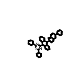 c1ccc(-c2ccc3cc(-c4c5ccccc5c(-c5nc(-c6ccccc6)nc(-c6ccccc6)n5)c5ccccc45)ccc3c2)cc1